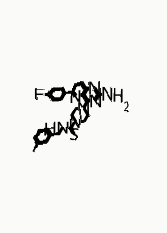 Cc1cccc(CNC(=S)N2CCN(c3nc(N)nc4ccc(-c5ccc(F)cc5)nc34)CC2)c1